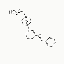 O=C(O)CC12CCC(c3cccc(OCc4ccccc4)c3)(CC1)CC2